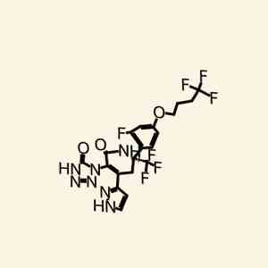 O=C1N[C@@](c2ccc(OCCCC(F)(F)F)cc2F)(C(F)(F)F)CC(c2cc[nH]n2)=C1n1nn[nH]c1=O